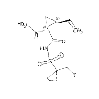 C=C[C@@H]1C[C@]1(NC(=O)O)C(=O)NS(=O)(=O)C1(CF)CC1